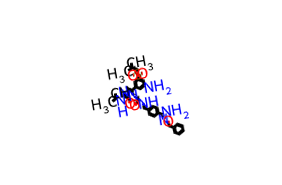 CC(C)CS(=O)(=O)c1cc(N)cc(-c2cnc(NC(C)C)c(=O)n2CC(=O)NCc2ccc(/C(N)=N/OCc3ccccc3)cc2)c1